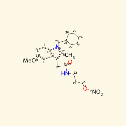 COc1ccc2c(c1)c(CC(=O)NCCCO[N+](=O)[O-])c(C)n2CC1CCCCC1